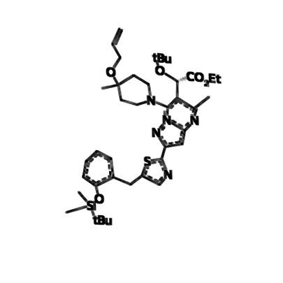 C=CCOC1(C)CCN(c2c([C@H](OC(C)(C)C)C(=O)OCC)c(C)nc3cc(-c4ncc(Cc5ccccc5O[Si](C)(C)C(C)(C)C)s4)nn23)CC1